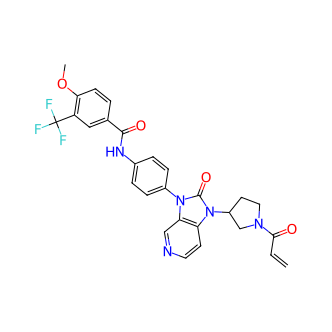 C=CC(=O)N1CCC(n2c(=O)n(-c3ccc(NC(=O)c4ccc(OC)c(C(F)(F)F)c4)cc3)c3cnccc32)C1